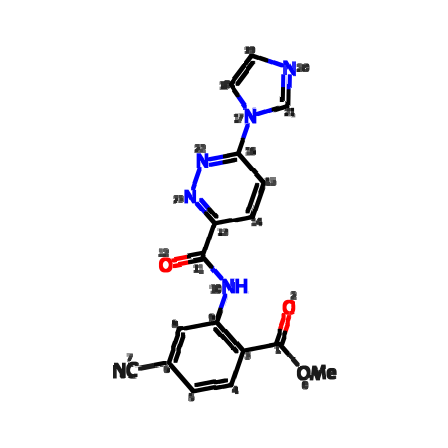 COC(=O)c1ccc(C#N)cc1NC(=O)c1ccc(-n2ccnc2)nn1